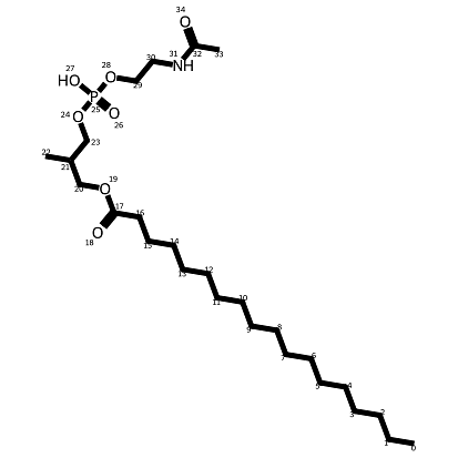 CCCCCCCCCCCCCCCCCC(=O)OCC(C)COP(=O)(O)OCCNC(C)=O